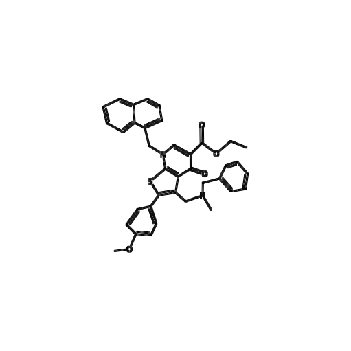 CCOC(=O)c1cn(Cc2cccc3ccccc23)c2sc(-c3ccc(OC)cc3)c(CN(C)Cc3ccccc3)c2c1=O